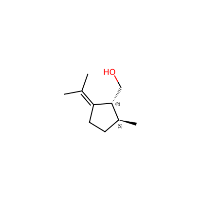 CC(C)=C1CC[C@H](C)[C@H]1CO